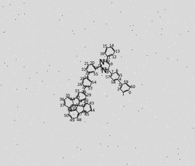 c1ccc(-c2ccc(-c3cc(-c4ccccc4)nc(-c4cccc(-c5ccc(-c6ccc7c(c6)-c6ccccc6C76c7ccccc7-c7ccccc76)cc5)c4)n3)cc2)cc1